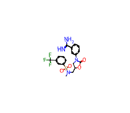 CN(CC1CN(c2cccc(C(=N)N)c2)C(=O)O1)S(=O)(=O)c1cccc(C(F)(F)F)c1